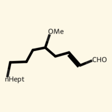 CCCCCCCCCCC(CC=CC=O)OC